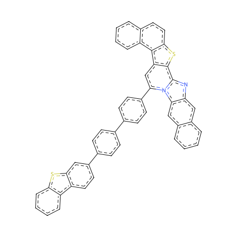 c1ccc2cc3c(cc2c1)nc1c2sc4ccc5ccccc5c4c2cc(-c2ccc(-c4ccc(-c5ccc6c(c5)sc5ccccc56)cc4)cc2)n31